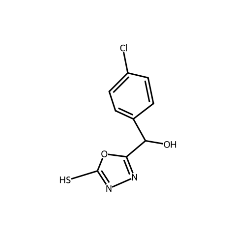 OC(c1ccc(Cl)cc1)c1nnc(S)o1